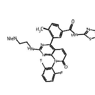 CNCCNc1nc(-c2cc(C(=O)Nc3nccs3)ccc2C)c2ccc(=O)n(-c3c(F)cccc3F)c2n1